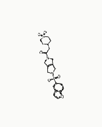 O=C(CC1CCS(=O)(=O)CC1)N1CC2=C(C1)CN(S(=O)(=O)c1ccc3occc3c1)C2